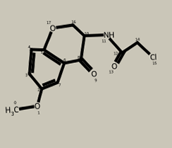 COc1ccc2c(c1)C(=O)C(NC(=O)CCl)CO2